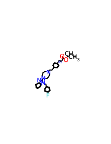 CC(C)OC(=O)/C=C/c1ccc(CCN2CCCN(c3nc4ccccc4n3Cc3ccc(F)cc3)CCC2)cc1